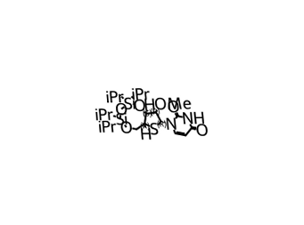 CO[C@@H]1[C@@H]2O[Si](C(C)C)(C(C)C)O[Si](C(C)C)(C(C)C)OC[C@H]2S[C@H]1n1ccc(=O)[nH]c1=O